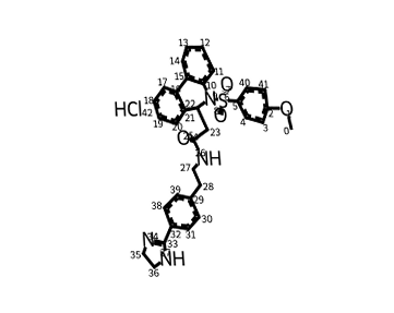 COc1ccc(S(=O)(=O)N2c3ccccc3-c3ccccc3C2CC(=O)NCCc2ccc(C3=NCCN3)cc2)cc1.Cl